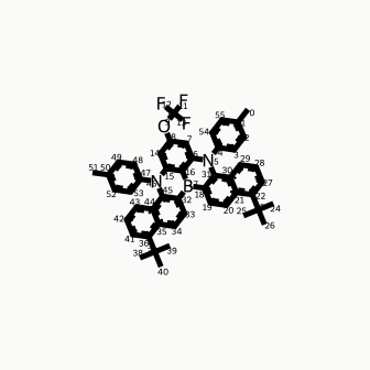 Cc1ccc(N2c3cc(OC(F)(F)F)cc4c3B(c3ccc5c(C(C)(C)C)cccc5c32)c2ccc3c(C(C)(C)C)cccc3c2N4c2ccc(C)cc2)cc1